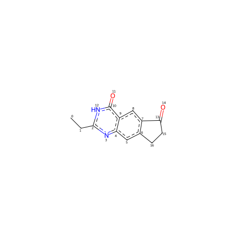 CCc1nc2cc3c(cc2c(=O)[nH]1)C(=O)CC3